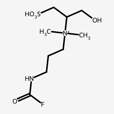 C[N+](C)(CCCNC(=O)F)C(CO)CS(=O)(=O)O